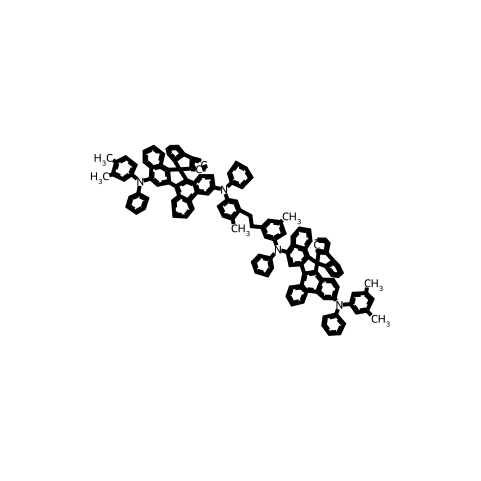 Cc1cc(C)cc(N(c2ccccc2)c2ccc3c4c(c5ccccc5c3c2)-c2cc(N(c3ccccc3)c3cc(C)cc(CCc5cc(N(c6ccccc6)c6ccc7c8c(c9ccccc9c7c6)-c6cc(N(c7ccccc7)c7ccc(C)c(C)c7)c7ccccc7c6C86c7ccccc7-c7ccccc76)ccc5C)c3)c3ccccc3c2C42c3ccccc3-c3ccccc32)c1